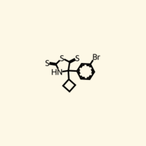 S=C1NC(c2cccc(Br)c2)(C2CCC2)C(=S)S1